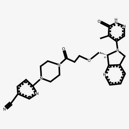 Cc1c(N2Cc3cccnc3[C@@H]2COCCC(=O)N2CCN(c3ccc(C#N)cn3)CC2)cn[nH]c1=O